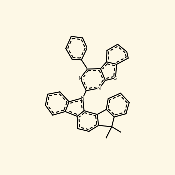 CC1(C)c2ccccc2-c2c1ccc1c3ccccc3n(-c3nc(-c4ccccc4)c4c(n3)sc3ccccc34)c21